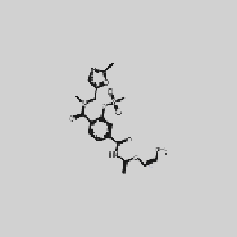 C=C(NC(=O)c1ccc(C(=O)N(C)Cc2cnc(C)o2)c(OS(C)(=O)=O)c1)S/C=C\N